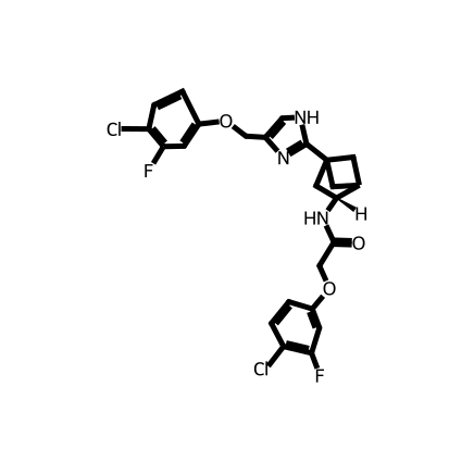 O=C(COc1ccc(Cl)c(F)c1)N[C@@H]1CC2(c3nc(COc4ccc(Cl)c(F)c4)c[nH]3)CC1C2